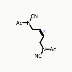 CC(=O)N(C#N)C/C=C\CN(C#N)C(C)=O